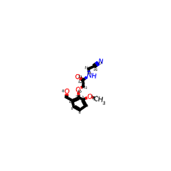 COc1cccc(C=O)c1OCC(=O)NCC#N